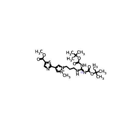 COC(=O)c1cnc(-c2cn(CCCN/C(=N/C(=O)OC(C)(C)C)NC(=O)OC(C)(C)C)[n+](C)c2)s1